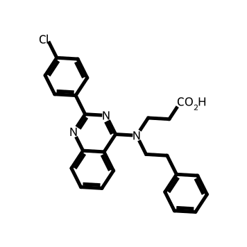 O=C(O)CCN(CCc1ccccc1)c1nc(-c2ccc(Cl)cc2)nc2ccccc12